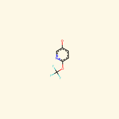 [O]c1ccc(OC(F)(F)F)nc1